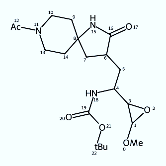 COC1OC1C(CC1CC2(CCN(C(C)=O)CC2)NC1=O)NC(=O)OC(C)(C)C